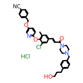 Cc1cc(C=CC(=O)N2CCN(Cc3ccc(CCCO)cc3)CC2)cc(Cl)c1Oc1ccc(OCc2ccc(C#N)cc2)cn1.Cl